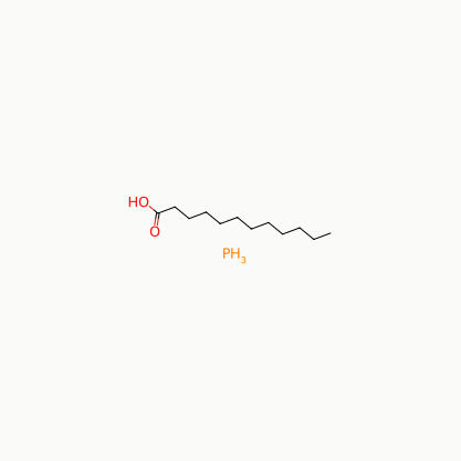 CCCCCCCCCCCC(=O)O.P